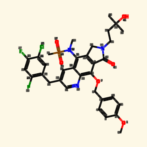 COc1ccc(COc2c3c(c(N(C)S(C)(=O)=O)c4cc(Cc5cc(Cl)c(F)cc5F)cnc24)CN(CCC(C)(C)O)C3=O)cc1